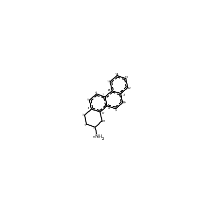 NC1CCc2ccc3c(ccc4ccccc43)c2C1